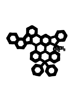 CC1(C)c2ccccc2-c2cc3c4c(c21)N1c2ccccc2C(c2ccccc2)(c2ccccc2)c2cccc(c21)B4n1c2ccc4ccccc4c2c2cccc-3c21